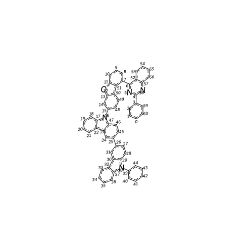 c1ccc(-c2nc(-c3cccc4oc5cc(-n6c7ccccc7c7cc(-c8ccc9c(c8)c8ccccc8n9-c8ccccc8)ccc76)ccc5c34)c3ccccc3n2)cc1